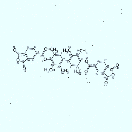 Cc1cc(-c2cc(C)c(OC(=O)c3ccc4c(c3)C(=O)OC4=O)c(C)c2C)c(C)c(C)c1OC(=O)c1ccc2c(c1)C(=O)OC2=O